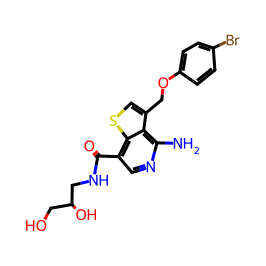 Nc1ncc(C(=O)NCC(O)CO)c2scc(COc3ccc(Br)cc3)c12